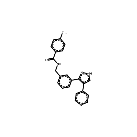 O=C(NCc1cccc(-c2n[nH]cc2-c2ccncc2)c1)c1ccc(C(F)(F)F)cc1